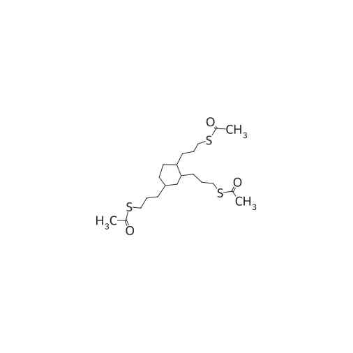 CC(=O)SCCCC1CCC(CCCSC(C)=O)C(CCCSC(C)=O)C1